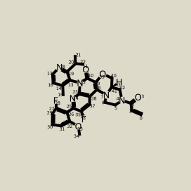 C=CC(=O)N1CCN2c3c(c(=O)n(-c4c(C)ccnc4C(C)C)c4nc(-c5c(F)cccc5OC)c(F)cc34)OC[C@@H]2C1